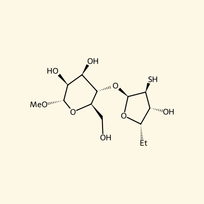 CC[C@@H]1O[C@@H](O[C@H]2[C@H](O)[C@H](O)[C@@H](OC)O[C@@H]2CO)[C@@H](S)[C@@H]1O